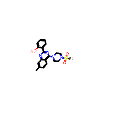 CCS(=O)(=O)N1CCN(c2nc(-c3ccccc3O)nc3cc(C)ccc23)CC1